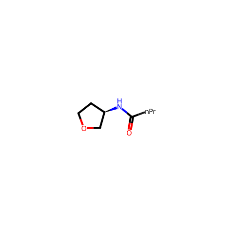 CCCC(=O)N[C@@H]1CCOC1